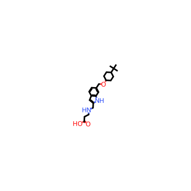 CC(C)(C)C1CCC(OCc2ccc3cc(CNCCC(=O)O)[nH]c3c2)CC1